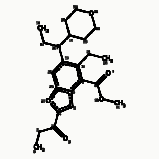 CCC(=O)c1cc2c(C(=O)OC)c(CC)c(N(CC)C3CCOCC3)cc2o1